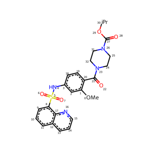 COc1cc(NS(=O)(=O)c2cccc3cccnc23)ccc1C(=O)N1CCN(C(=O)OC(C)C)CC1